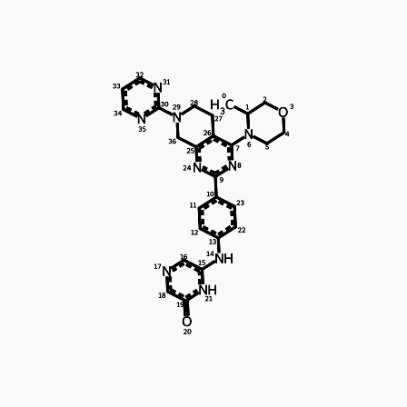 CC1COCCN1c1nc(-c2ccc(Nc3cncc(=O)[nH]3)cc2)nc2c1CCN(c1ncccn1)C2